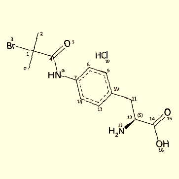 CC(C)(Br)C(=O)Nc1ccc(C[C@H](N)C(=O)O)cc1.Cl